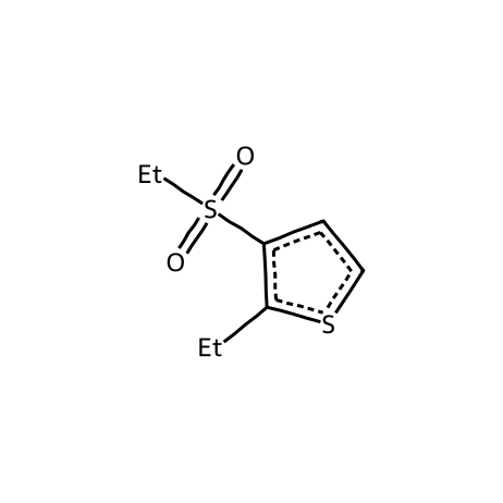 CCc1sccc1S(=O)(=O)CC